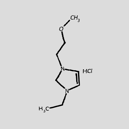 CCN1C=CN(CCOC)C1.Cl